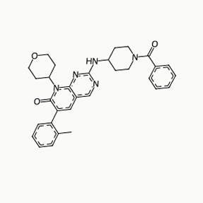 Cc1ccccc1-c1cc2cnc(NC3CCN(C(=O)c4ccccc4)CC3)nc2n(C2CCOCC2)c1=O